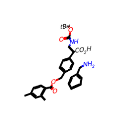 Cc1ccc(C(=O)OCc2ccc([C@@H](CNC(=O)OC(C)(C)C)C(=O)O)cc2)c(C)c1.NCc1ccccc1